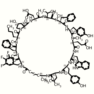 CCCC[C@H]1C(=O)N2C[C@H](O)C[C@@H]2C(=O)N[C@@H](CC(=O)O)C(=O)N[C@@H](C(C)C)C(=O)N(C)[C@@H](Cc2ccccc2)C(=O)N[C@@H](Cc2ccc(O)cc2)C(=O)N(C)[C@@H](CCC(=O)O)C(=O)N[C@@H](Cc2c[nH]c3ccccc23)C(=O)N[C@@H](CCc2ccc(O)cc2)C(=O)N[C@@H](CC(C)C)C(=O)N[C@H](C)CSCC(=O)N[C@@H](Cc2cc(F)c(F)c(F)c2)C(=O)N(C)[C@@H](Cc2ccccc2)C(=O)N1C